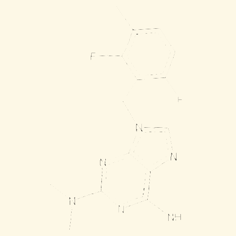 Cc1ccc(F)c(Cn2cnc3c(N)nc(N(C)C)nc32)c1F